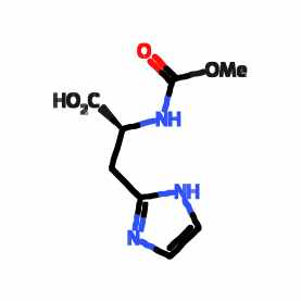 COC(=O)N[C@@H](Cc1ncc[nH]1)C(=O)O